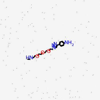 CCNCCOCCOCCOCCn1cc(-c2ccc(N)cc2)nn1